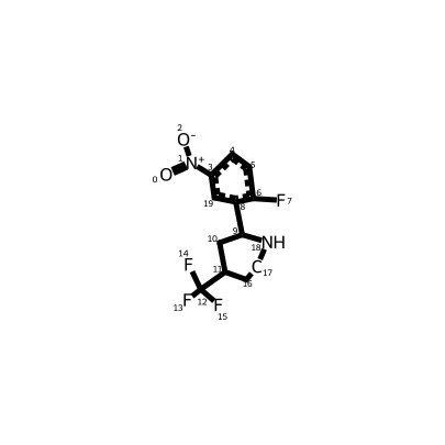 O=[N+]([O-])c1ccc(F)c(C2CC(C(F)(F)F)CCN2)c1